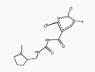 CN1CCCC1CNC(=O)NC(=O)c1cc(F)c(Cl)nc1Cl